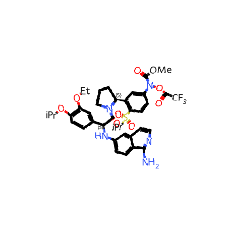 CCOc1cc([C@H](Nc2ccc3c(N)nccc3c2)C(=O)N2CCC[C@H]2c2cc(N(OC(=O)C(F)(F)F)C(=O)OC)ccc2S(=O)(=O)C(C)C)ccc1OC(C)C